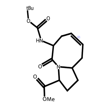 COC(=O)C1CCC2C/C=C\CC(NC(=O)OC(C)(C)C)C(=O)N21